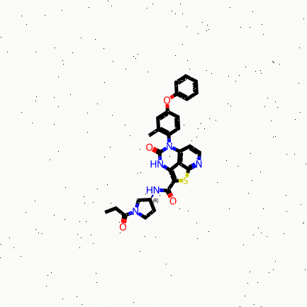 CCC(=O)N1CC[C@@H](NC(=O)c2sc3nccc4c3c2NC(=O)N4c2ccc(Oc3ccccc3)cc2C)C1